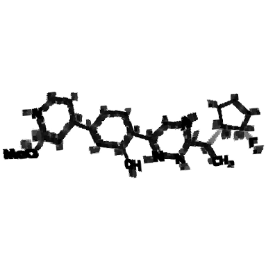 C=C(c1ncc(-c2ccc(-c3ccnc(OC)c3)cc2O)nn1)[C@@H]1CC=C[C@@H]1F